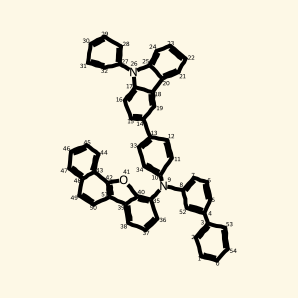 c1ccc(-c2cccc(N(c3ccc(-c4ccc5c(c4)c4ccccc4n5-c4ccccc4)cc3)c3cccc4c3oc3c5ccccc5ccc43)c2)cc1